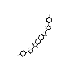 Cc1ccc(-c2ccc(-c3nc4cc5cc6sc(-c7ccc(-c8ccc(C)cc8)s7)nc6cc5cc4s3)s2)cc1